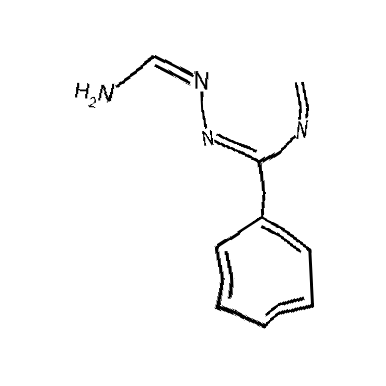 C=N/C(=N\N=C/N)c1ccccc1